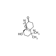 CC1(C)CCC[C@]23C(O)OC[C@H]2C(=O)CC[C@@H]13